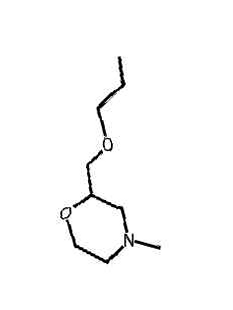 CCCOCC1CN(C)CCO1